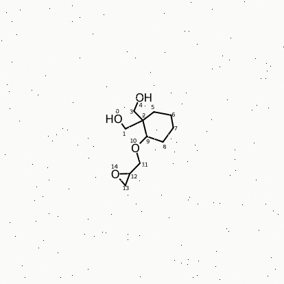 OCC1(CO)CCCCC1OCC1CO1